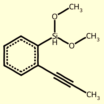 CC#Cc1ccccc1[SiH](OC)OC